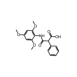 COc1cc(OC)c(NC(=O)C(C(=O)O)c2ccccc2)c(OC)c1